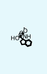 COC(=O)NC1(C(=O)O)CCc2ccccc21